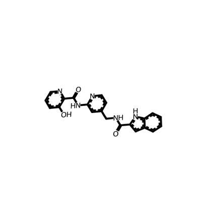 O=C(NCc1ccnc(NC(=O)c2ncccc2O)c1)c1cc2ccccc2[nH]1